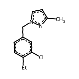 CCc1ccc(Cn2ccc(C)n2)cc1Cl